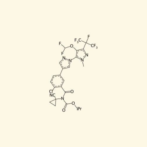 CC(C)OC(=O)N(C(=O)c1cc(-c2cnn(-c3c(OC(F)F)c(C(F)(C(F)(F)F)C(F)(F)F)nn3C)c2)ccc1Cl)C1(C#N)CC1